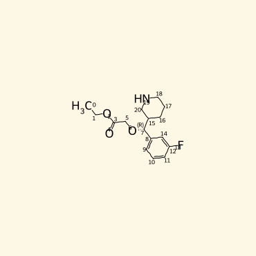 CCOC(=O)CO[C@@H](c1cccc(F)c1)C1CCCNC1